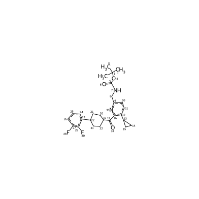 CC(C)(C)OC(=O)NCc1ccc(C2CC2)c(C(=O)C2CCC(c3cccc(F)c3F)CC2)n1